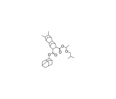 CC(C)COC(C)OC(=O)C1C2CC(C1C(=O)OC1C3CC4CC(C3)CC1C4)C1C3CC(C(C)C3C)C21